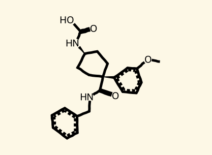 COc1cccc([C@]2(C(=O)NCc3ccccc3)CC[C@H](NC(=O)O)CC2)c1